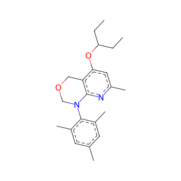 CCC(CC)Oc1cc(C)nc2c1COCN2c1c(C)cc(C)cc1C